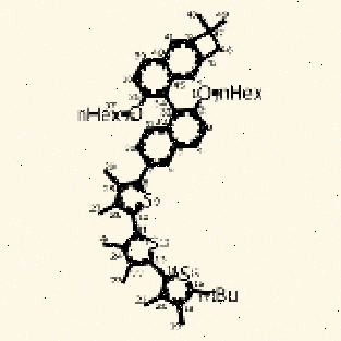 CCCCCCOc1ccc2cc(-c3sc(-c4sc(-c5sc(C(C)(C)C)c(C)c5C)c(C)c4C)c(C)c3C)ccc2c1-c1c(OCCCCCC)ccc2cc3c(cc12)CC3(C)C